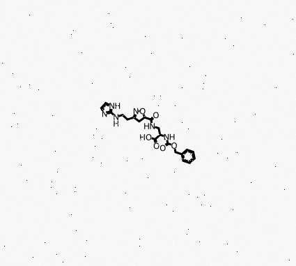 O=C(NC(CNC(=O)C1CC(CCNc2ncc[nH]2)=NO1)C(=O)O)OCc1ccccc1